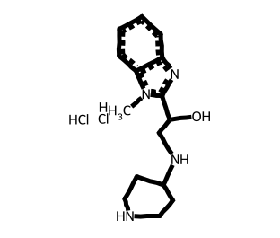 Cl.Cl.Cn1c(C(O)CNC2CCNCC2)nc2ccccc21